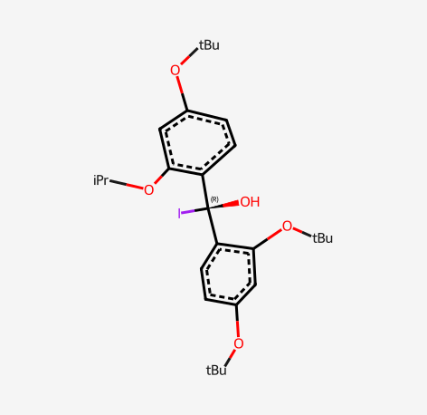 CC(C)Oc1cc(OC(C)(C)C)ccc1[C@@](O)(I)c1ccc(OC(C)(C)C)cc1OC(C)(C)C